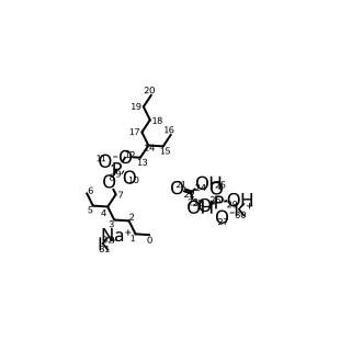 CCCCC(CC)COP(=O)([O-])OCC(CC)CCCC.O=C(O)O.O=P([O-])([O-])O.[K+].[K+].[Na+]